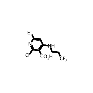 CCc1cc(NCCC(F)(F)F)c(C(=O)O)c(Cl)n1